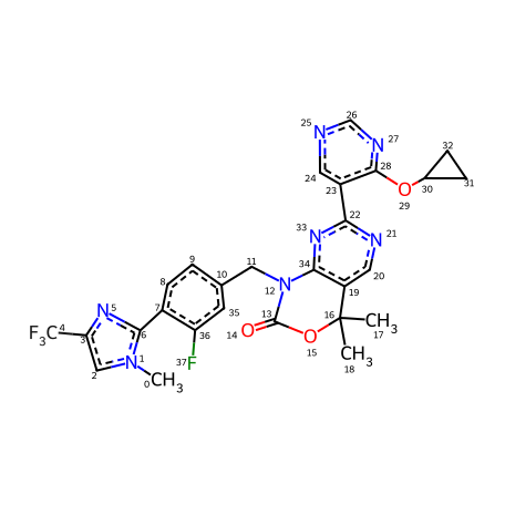 Cn1cc(C(F)(F)F)nc1-c1ccc(CN2C(=O)OC(C)(C)c3cnc(-c4cncnc4OC4CC4)nc32)cc1F